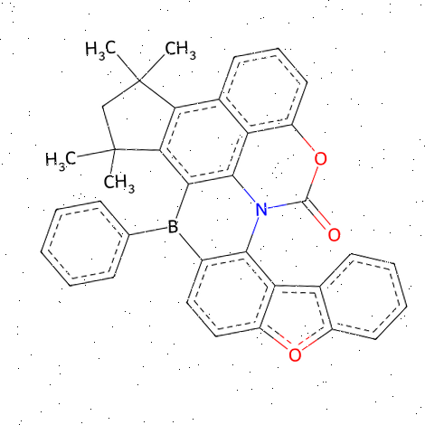 CC1(C)CC(C)(C)c2c1c1c3c4c(cccc24)OC(=O)N3c2c(ccc3oc4ccccc4c23)B1c1ccccc1